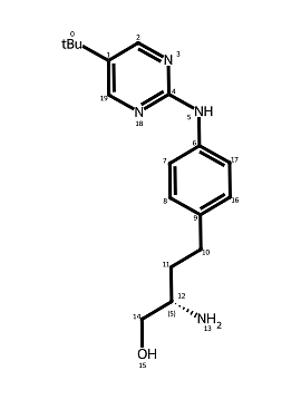 CC(C)(C)c1cnc(Nc2ccc(CC[C@H](N)CO)cc2)nc1